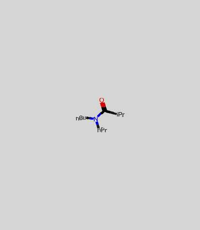 CCCCN(CCC)C(=O)C(C)C